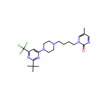 Cc1cnc(=O)n(CCCCN2CCN(c3cc(C(F)(F)F)nc(C(C)(C)C)n3)CC2)c1